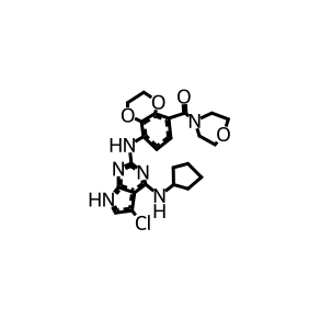 O=C(c1ccc(Nc2nc(NC3CCCC3)c3c(Cl)c[nH]c3n2)c2c1OCCO2)N1CCOCC1